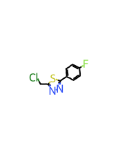 Fc1ccc(-c2nnc(CCl)s2)cc1